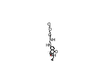 COCCOCCOCCNCCNc1ccc2c(c1)[C@]1(C)CCN(CC3CC3)[C@H](C2=O)[C@@H]1C